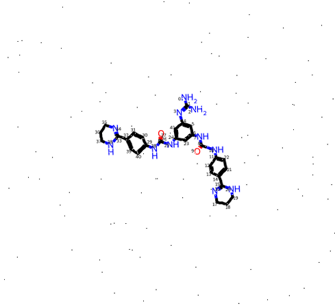 NC(N)=Nc1cc(NC(=O)Nc2ccc(C3=NCCCN3)cc2)cc(NC(=O)Nc2ccc(C3=NCCCN3)cc2)c1